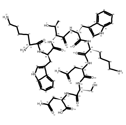 C[C@H](O)[C@@H](NC(=O)[C@@H](Cc1c[nH]c2ccccc12)NC(=O)[C@H](N)CCCCN)C(=O)N[C@H](Cc1c[nH]c2ccccc12)C(=O)N[C@H](CCCCN)C(=O)N[C@H](CC(N)=O)C(=O)N[C@H](CO)C(=O)N[C@H](CC(N)=O)C(=O)O